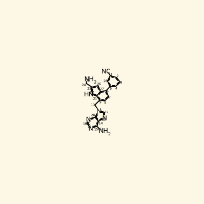 N#Cc1cccc(-c2ccc(Cn3cnc4c(N)ncnc43)c3[nH]c(CN)cc23)c1